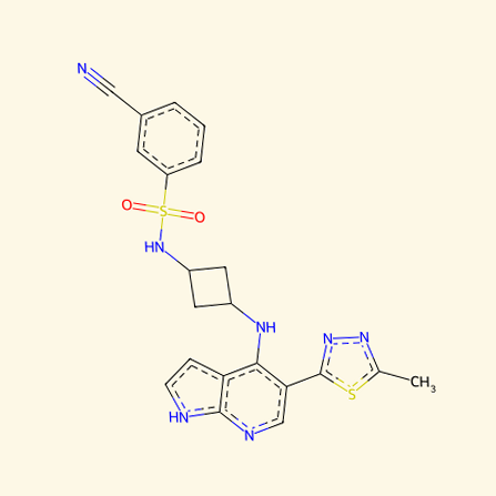 Cc1nnc(-c2cnc3[nH]ccc3c2NC2CC(NS(=O)(=O)c3cccc(C#N)c3)C2)s1